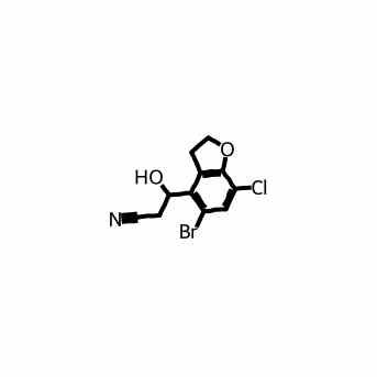 N#CCC(O)c1c(Br)cc(Cl)c2c1CCO2